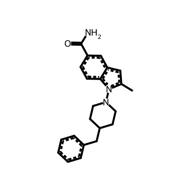 Cc1cc2cc(C(N)=O)ccc2n1N1CCC(Cc2ccccc2)CC1